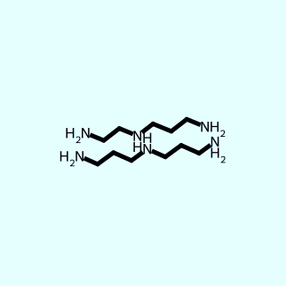 NCCCNCCCN.NCCCNCCN